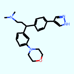 CN(C)CCC(c1ccc(-c2cn[nH]c2)cc1)c1cccc(N2CCOCC2)c1